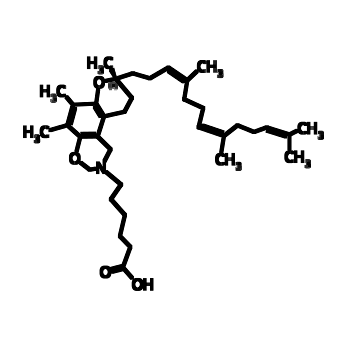 CC(C)=CCCC(C)=CCCC(C)=CCC[C@]1(C)CCc2c3c(c(C)c(C)c2O1)OCN(CCCCCC(=O)O)C3